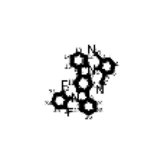 N#Cc1cccc(C#N)c1-n1c2ccccc2c2cc3c(cc21)c1ccccc1n3-c1c(F)cccc1F